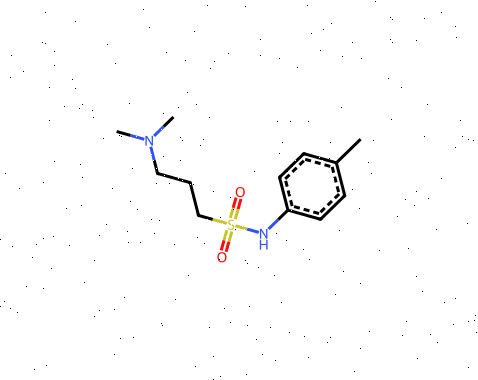 Cc1ccc(NS(=O)(=O)CCCN(C)C)cc1